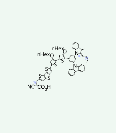 C/C=C\C=C1/C(C)c2ccccc2N1c1cc(-c2sc(-c3sc(-c4cc5sc6cc(/C=C(/C#N)C(=O)O)sc6c5s4)cc3OCCCCCC)cc2OCCCCCC)cc(-n2c3ccccc3c3ccccc32)c1